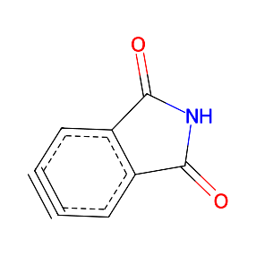 O=C1NC(=O)c2cc#ccc21